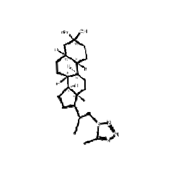 CCC[C@@]1(O)CC[C@H]2[C@H](CC[C@@H]3[C@@H]2CC[C@]2(C)C(C(C)Cn4nnnc4C)CC[C@@H]32)C1